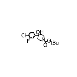 CC(C)(C)OC(=O)N1CCC(O)(c2ccc(Cl)c(F)c2)CC1